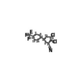 N#Cc1cc(-c2ccc(C(F)(F)F)cc2)cc(Cl)c1Cl